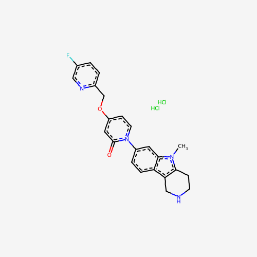 Cl.Cl.Cn1c2c(c3ccc(-n4ccc(OCc5ccc(F)cn5)cc4=O)cc31)CNCC2